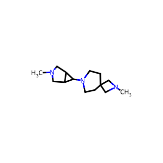 CN1CC2C(C1)C2N1CCC2(CC1)CN(C)C2